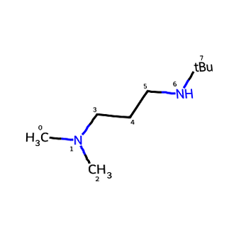 CN(C)CCCNC(C)(C)C